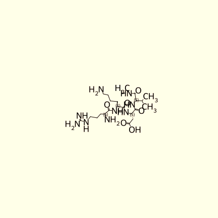 CNC(=O)[C@@H](NC(=O)[C@H](CC(=O)O)NC(=O)[C@H](CCCCN)NC(=O)[C@@H](N)CCCNC(=N)N)C(C)C